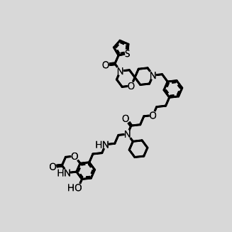 O=C1COc2c(CCNCCN(C(=O)CCOCCc3cccc(CN4CCC5(CC4)CN(C(=O)c4cccs4)CCO5)c3)C3CCCCC3)ccc(O)c2N1